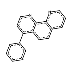 [c]1cccc(-c2ccnc3c2ccc2cccnc23)c1